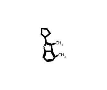 Cc1cccc2sc(C3CCCC3)c(C)c12